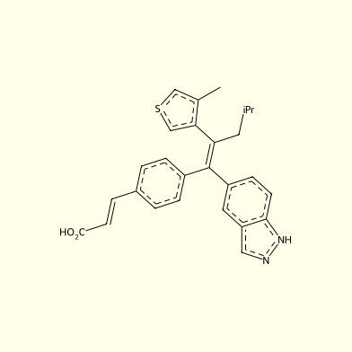 Cc1cscc1/C(CC(C)C)=C(\c1ccc(/C=C/C(=O)O)cc1)c1ccc2[nH]ncc2c1